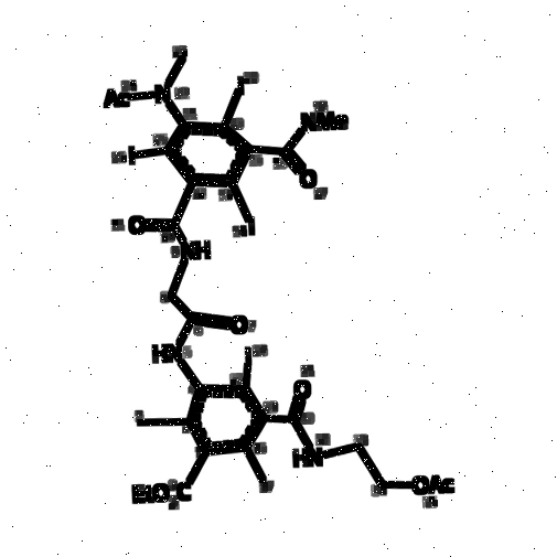 CCOC(=O)c1c(C)c(NC(=O)CNC(=O)c2c(I)c(C(=O)NC)c(I)c(N(C)C(C)=O)c2I)c(I)c(C(=O)NCCOC(C)=O)c1C